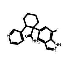 NC(=O)C1(c2cc(F)c3[nH]ncc3c2)CCCCC1c1cccnc1